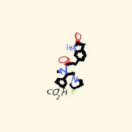 CN(C(=O)Cc1ccc2c(c1)NC(=O)C2)C(CN1CC[C@H](F)C1)c1cccc(C(=O)O)c1